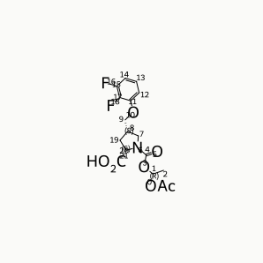 CC(=O)O[C@@H](C)OC(=O)N1C[C@@H](COc2cccc(F)c2F)C[C@H]1C(=O)O